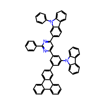 c1ccc(-c2nc(-c3cc(-c4ccc5c6ccccc6c6ccccc6c5c4)cc(-n4c5ccccc5c5ccccc54)c3)cc(-c3ccc4c5ccccc5n(-c5ccccc5)c4c3)n2)cc1